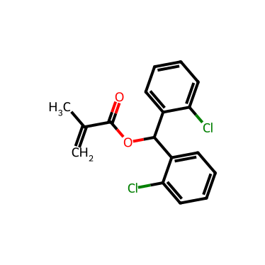 C=C(C)C(=O)OC(c1ccccc1Cl)c1ccccc1Cl